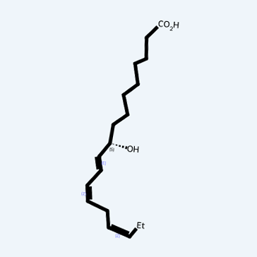 CC/C=C\C/C=C\C=C\[C@@H](O)CCCCCCCC(=O)O